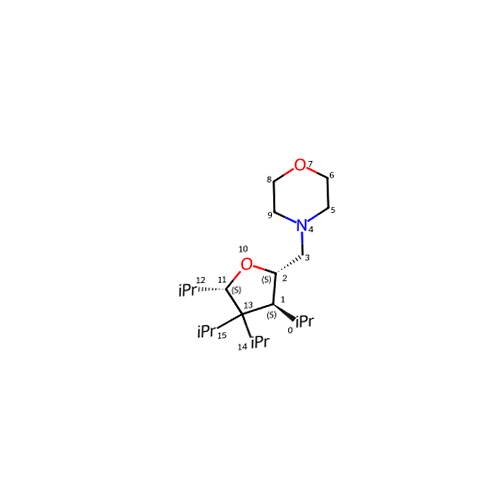 CC(C)[C@@H]1[C@@H](CN2CCOCC2)O[C@@H](C(C)C)C1(C(C)C)C(C)C